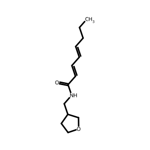 CCC/C=C/C=C/C(=O)NCC1CCOC1